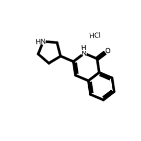 Cl.O=c1[nH]c(C2CCNC2)cc2ccccc12